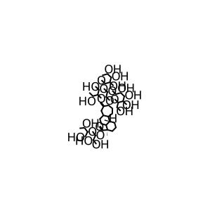 C=C1CC2CCC3[C@](C)(C(=O)OC(OC(CO)C(C)O)C(O)O)CCC[C@@]3(C)[C@@H]2CCC1OC(OC(CO)C(C)O)C(OC1OCC(O)C(O)C1O)OC1OC(CO)C(O)C(O)C1O